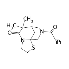 CC(C)C(=O)N1CC2CC3(C1)SCCN3C(=O)C2(C)C